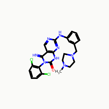 CN1CCN(Cc2cccc(Nc3ncc4c(=N)n(-c5c(Cl)cccc5Cl)c(=O)[nH]c4n3)c2)CC1